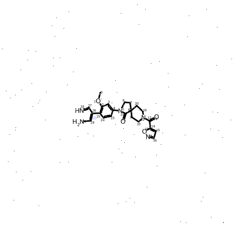 COc1cc(N2CCC3(CCN(C(=O)c4ccno4)CC3)C2=O)ccc1/C(C=N)=C/N